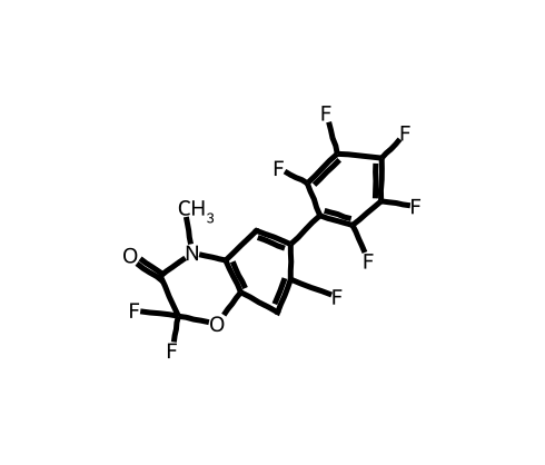 CN1C(=O)C(F)(F)Oc2cc(F)c(-c3c(F)c(F)c(F)c(F)c3F)cc21